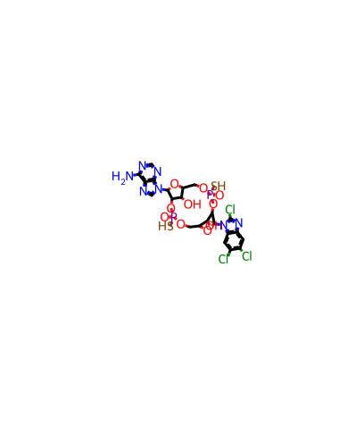 Nc1ncnc2c1ncn2C1OC2COP(=O)(S)OC3C(O)C(COP(=O)(S)OC1C2O)OC3n1c(Cl)nc2cc(Cl)c(Cl)cc21